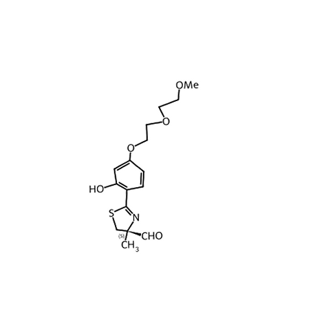 COCCOCCOc1ccc(C2=N[C@@](C)(C=O)CS2)c(O)c1